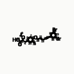 CCO[C@@H](Cc1ccc(OC/C=C/C#Cc2cc(Br)cc(Br)c2)c(I)c1)C(=O)O